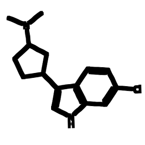 CN(C)C1CCC(c2c[nH]c3cc(Cl)ccc23)C1